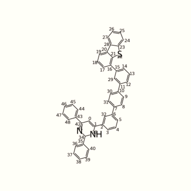 C1=C(c2cccc(-c3ccc(-c4cccc(-c5cccc6c5sc5ccccc56)c4)cc3)c2)NC(c2ccccc2)N=C1c1ccccc1